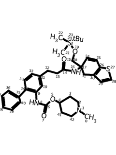 CN1CCC(OC(=O)Nc2cc(CCC(=O)NC3(CO[Si](C)(C)C(C)(C)C)C=Cc4sccc4C3)ccc2-c2ccccc2)CC1